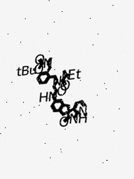 CCN(C)C(=O)N(CC(=O)Nc1ccc2c(c1)CC1(C2)C(=O)Nc2ncccc21)Cc1ccccc1CN(C)C(=O)OC(C)(C)C